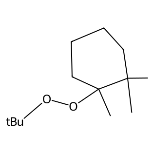 CC(C)(C)OOC1(C)CCCCC1(C)C